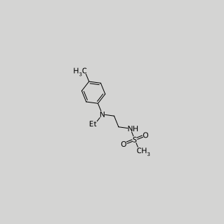 CCN(CCNS(C)(=O)=O)c1ccc(C)cc1